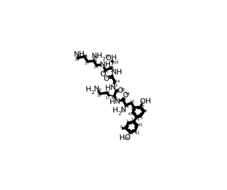 Cc1cc(-c2ccc(O)c(C[C@H](N)C(=O)N[C@@H](CCCN)C(=O)NCC(=O)N[C@@H](CO)C(=O)NC[C@@H](N)CCCN)c2)ccc1O